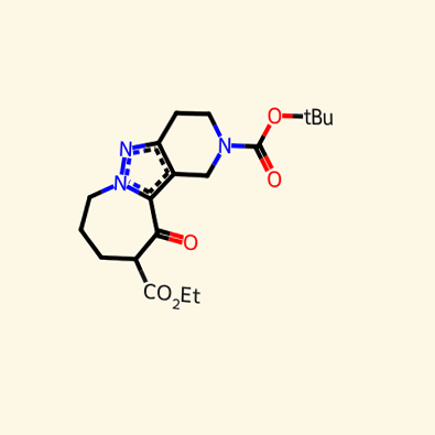 CCOC(=O)C1CCCn2nc3c(c2C1=O)CN(C(=O)OC(C)(C)C)CC3